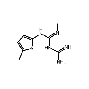 C/N=C(/NC(=N)N)Nc1ccc(C)s1